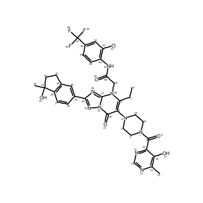 CCc1c(N2CCN(C(=O)c3ncnc(C)c3O)CC2)c(=O)n2nc(-c3ccc4c(c3)CCC4(C)O)nc2n1CC(=O)Nc1ccc(C(F)(F)F)cc1Cl